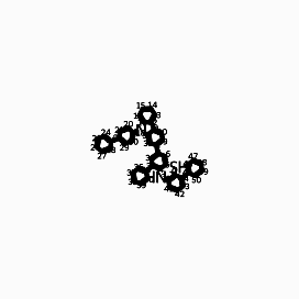 Sc1c(Nc2ccc(-c3ccc4c5ccccc5n(-c5ccc(-c6ccccc6)cc5)c4c3)cc2-c2ccccc2)cccc1-c1ccccc1